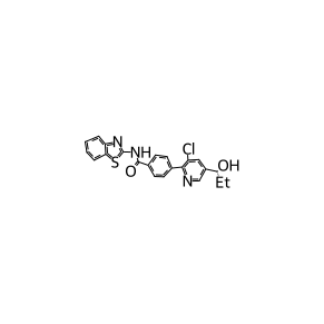 CC[C@@H](O)c1cnc(-c2ccc(C(=O)Nc3nc4ccccc4s3)cc2)c(Cl)c1